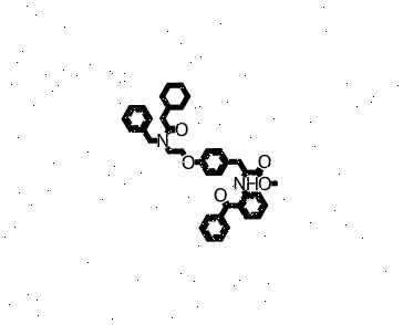 COC(=O)C(Cc1ccc(OCCN(Cc2ccccc2)C(=O)CC2CCCCC2)cc1)Nc1ccccc1C(=O)c1ccccc1